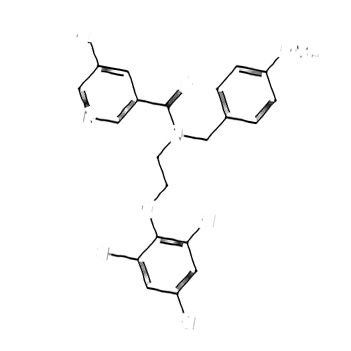 COc1ccc(CN(CCOc2c(Cl)cc(Cl)cc2Cl)C(=O)c2cncc(Cl)c2)cc1